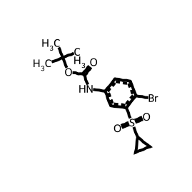 CC(C)(C)OC(=O)Nc1ccc(Br)c(S(=O)(=O)C2CC2)c1